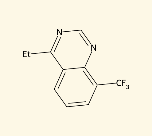 CCc1ncnc2c(C(F)(F)F)cccc12